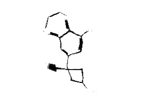 CC1CC(C#N)(c2cc(Br)c3nccnc3c2)C1